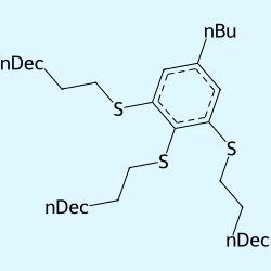 [CH2]CCCc1cc(SCCCCCCCCCCCC)c(SCCCCCCCCCCCC)c(SCCCCCCCCCCCC)c1